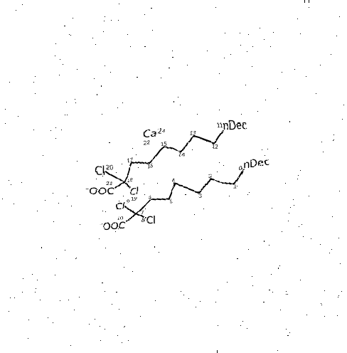 CCCCCCCCCCCCCCCCC(Cl)(Cl)C(=O)[O-].CCCCCCCCCCCCCCCCC(Cl)(Cl)C(=O)[O-].[Ca+2]